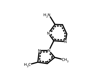 Cc1cc(C)n(-c2nccc(N)n2)n1